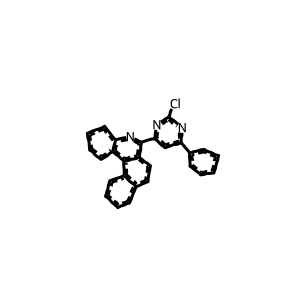 Clc1nc(-c2ccccc2)cc(-c2nc3ccccc3c3c2ccc2ccccc23)n1